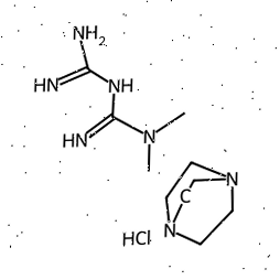 C1CN2CCN1CC2.CN(C)C(=N)NC(=N)N.Cl